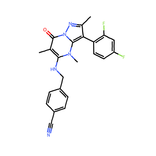 Cc1nn2c(=O)c(C)c(NCc3ccc(C#N)cc3)n(C)c2c1-c1ccc(F)cc1F